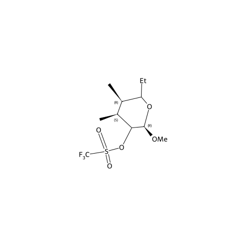 CCC1O[C@@H](OC)C(OS(=O)(=O)C(F)(F)F)[C@@H](C)[C@H]1C